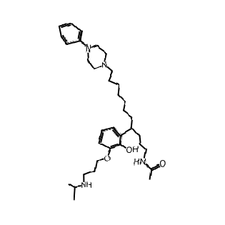 CC(=O)NCCCC(CCCCCCCN1CCN(c2ccccc2)CC1)c1cccc(OCCCNC(C)C)c1O